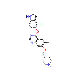 Cc1cc2c(F)c(Oc3ncnc4cc(OCC5CCN(C)CC5)c(C)cc34)ccc2[nH]1